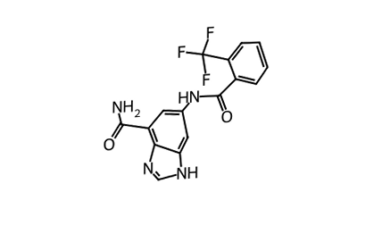 NC(=O)c1cc(NC(=O)c2ccccc2C(F)(F)F)cc2[nH]cnc12